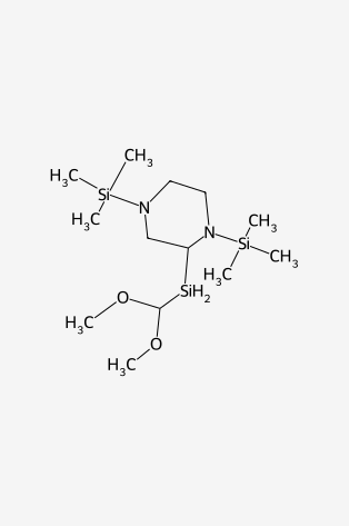 COC(OC)[SiH2]C1CN([Si](C)(C)C)CCN1[Si](C)(C)C